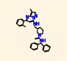 C=C(NC(c1ccccc1)c1ccccc1)N1CCCC(CNc2cc(-c3ccccc3C)nc3c(C)cnn23)C1